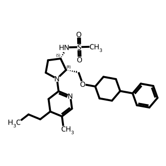 CCCC1CC(N2CC[C@H](NS(C)(=O)=O)[C@@H]2COC2CCC(c3ccccc3)CC2)=NC=C1C